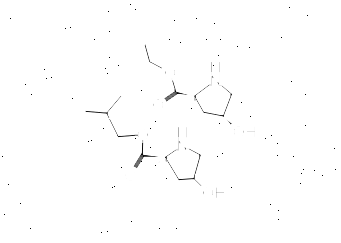 CC(C)COC(=O)[C@@H]1CC(O)CN1.CCOC(=O)[C@@H]1C[C@H](O)CN1